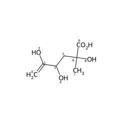 C=C(O)C(O)CC(C)(O)C(=O)O